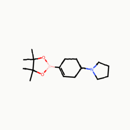 CC1(C)OB(C2=CCC(N3CCCC3)CC2)OC1(C)C